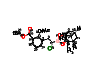 COc1c(C[C@@H](Cl)B2OC3C[C@H]4C[C@@H](C4(C)C)[C@]3(C)O2)cccc1C(=O)OC(C)(C)C